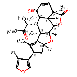 CCc1cocc1[C@@H]1C[C@H]2O[C@@H]3[C@@H]4OC(=O)[C@]5(C)C=CC(=O)[C@](C)([C@@H](C(C)C(=O)OC)[C@]3(C)C2=C1C)[C@@H]45